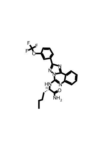 CCCC[C@H](Nc1nc2ccccc2c2nc(-c3cccc(OC(F)(F)F)c3)nn12)C(N)=O